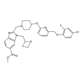 COC(=O)c1ccc2nc(CN3CCC(Oc4cccc(COc5ccc(Cl)cc5F)n4)CC3)n(CC3CCO3)c2c1